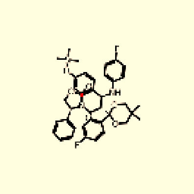 CC1(C)COC(c2ccc(F)cc2)([C@H](C(=O)N2C(=O)OC[C@@H]2c2ccccc2)[C@H](Nc2ccc(F)cc2)c2ccc(O[Si](C)(C)C)cc2)OC1